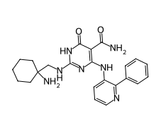 NC(=O)c1c(Nc2cccnc2-c2ccccc2)nc(NCC2(N)CCCCC2)[nH]c1=O